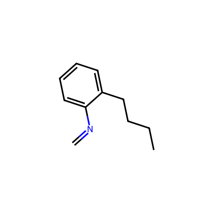 C=Nc1ccccc1CCCC